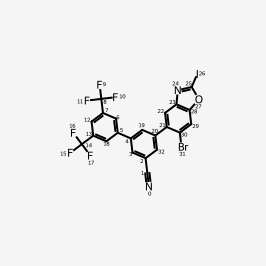 N#Cc1cc(-c2cc(C(F)(F)F)cc(C(F)(F)F)c2)cc(-c2cc3nc(I)oc3cc2Br)c1